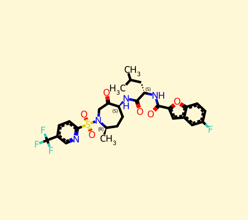 CC(C)C[C@H](NC(=O)c1cc2cc(F)ccc2o1)C(=O)N[C@H]1CC[C@@H](C)N(S(=O)(=O)c2ccc(C(F)(F)F)cn2)CC1=O